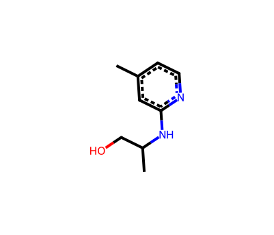 Cc1ccnc(NC(C)CO)c1